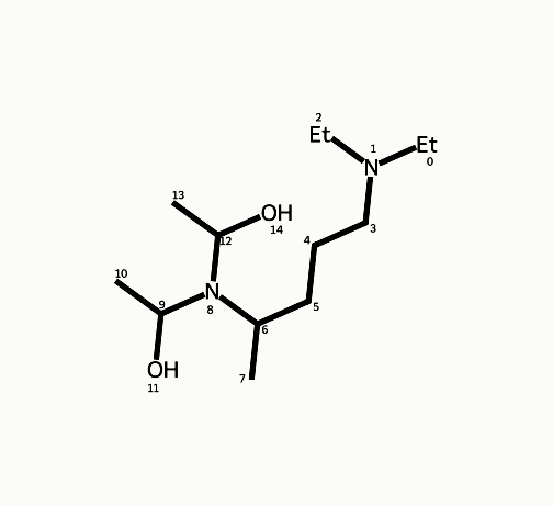 CCN(CC)CCCC(C)N(C(C)O)C(C)O